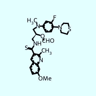 COc1ccc2cc(C(=S)NC[C@@H](CN(C)c3ccc(N4CCSCC4)c(F)c3)OC=O)c(C)nc2c1